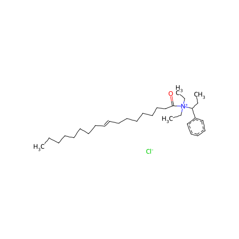 CCCCCCCCC=CCCCCCCCC(=O)[N+](CC)(CC)C(CC)c1ccccc1.[Cl-]